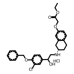 CCOC(=O)COc1ccc2c(c1)C[C@@H](NCC(O)c1ccc(OCc3ccccc3)c(Cl)c1)CC2.Cl